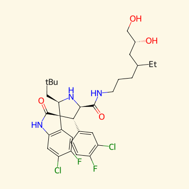 CCC(CCCNC(=O)[C@@H]1N[C@H](CC(C)(C)C)[C@]2(C(=O)Nc3cc(Cl)c(F)cc32)[C@H]1c1ccc(F)c(Cl)c1)C[C@@H](O)CO